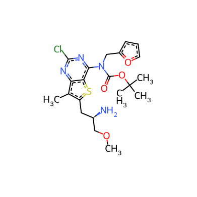 COC[C@H](N)Cc1sc2c(N(Cc3ccco3)C(=O)OC(C)(C)C)nc(Cl)nc2c1C